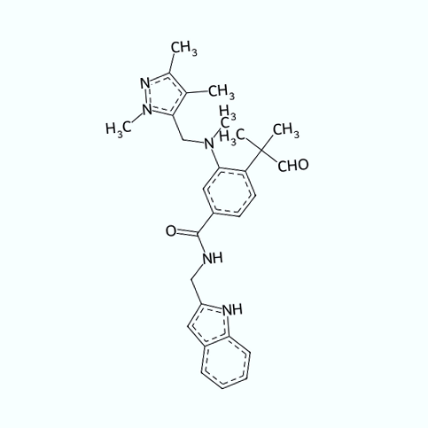 Cc1nn(C)c(CN(C)c2cc(C(=O)NCc3cc4ccccc4[nH]3)ccc2C(C)(C)C=O)c1C